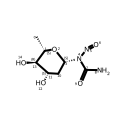 C[C@@H]1O[C@H](N(N=O)C(N)=O)C[C@H](O)[C@H]1O